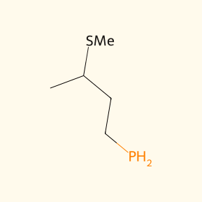 CSC(C)CCP